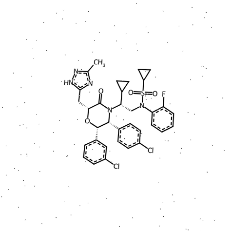 Cc1n[nH]c(C[C@H]2O[C@@H](c3cccc(Cl)c3)[C@@H](c3ccc(Cl)cc3)N([C@@H](CN(c3ccccc3F)S(=O)(=O)C3CC3)C3CC3)C2=O)n1